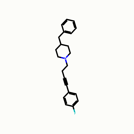 Fc1ccc(C#CCCN2CCC(Cc3ccccc3)CC2)cc1